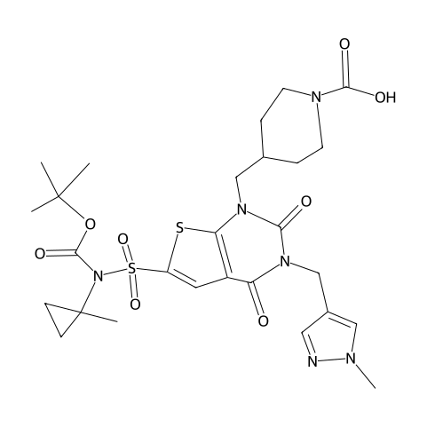 Cn1cc(Cn2c(=O)c3cc(S(=O)(=O)N(C(=O)OC(C)(C)C)C4(C)CC4)sc3n(CC3CCN(C(=O)O)CC3)c2=O)cn1